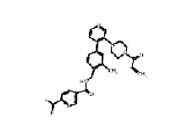 C=CC(=O)N1CCN(c2cnccc2-c2ccc(CNC(=O)c3ccc(C(F)F)nc3)c(C)c2)CC1